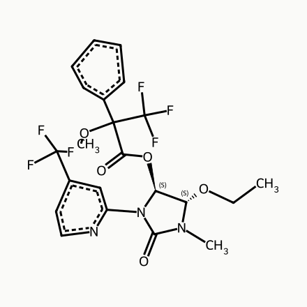 CCO[C@H]1[C@H](OC(=O)C(OC)(c2ccccc2)C(F)(F)F)N(c2cc(C(F)(F)F)ccn2)C(=O)N1C